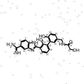 N=C(N)c1ccc2[nH]c(-c3cccc(-c4cc(CNC(=O)CO)ccc4O)c3O)nc2c1